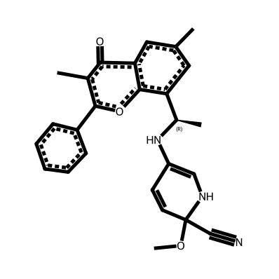 COC1(C#N)C=CC(N[C@H](C)c2cc(C)cc3c(=O)c(C)c(-c4ccccc4)oc23)=CN1